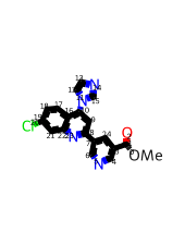 COC(=O)c1cncc(-c2cc(-n3ccnc3)c3ccc(Cl)cc3n2)c1